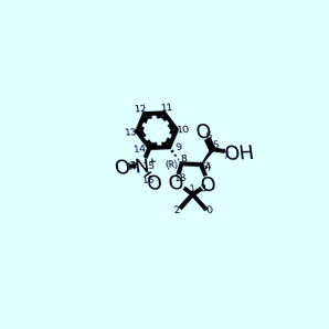 CC1(C)O[C@H](C(=O)O)[C@@H](c2ccccc2[N+](=O)[O-])O1